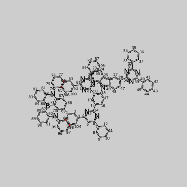 c1ccc(-c2cc(-c3ccccc3)nc(-c3ccc(-n4c5ccccc5c5cc(-c6nc(-c7ccccc7)nc(-c7ccccc7)n6)ccc54)c(-c4nc(-c5ccccc5)nc(-c5cccc(-c6ccc7c8c6N(c6ccccc6)c6ccccc6B8c6ccccc6N7c6ccccc6)c5)n4)c3)n2)cc1